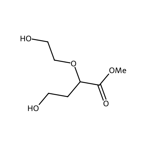 COC(=O)C(CCO)OCCO